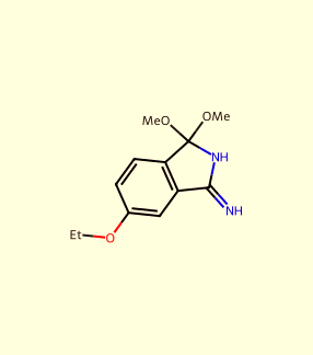 CCOc1ccc2c(c1)C(=N)NC2(OC)OC